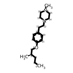 CCC[C@@H](C)COc1ccc([CH]CN2CCN(C)CC2)cc1